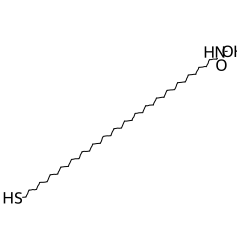 O=C(CCCCCCCCCCCCCCCCCCCCCCCCCCCCCCCCCCCCS)NO